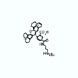 CC(C)(C)NCCCNC(=O)c1ccc(C2=c3cc4[n+]5c(c3Oc3c2cc2c6c3CCCN6CCC2)CCCC=5C=CC4)c(C(=O)O)c1